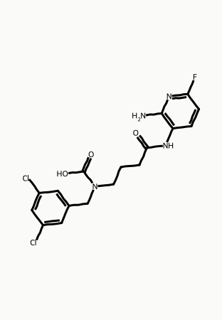 Nc1nc(F)ccc1NC(=O)CCCN(Cc1cc(Cl)cc(Cl)c1)C(=O)O